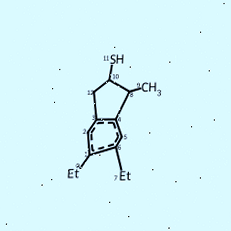 CCc1cc2c(cc1CC)C(C)C(S)C2